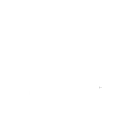 Cc1ccc(SCc2c(C(C)C)cc(C(C)C)c(C(C)O)c2-c2ccc(F)cc2O)cc1